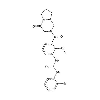 COc1c(NC(=O)Nc2ccccc2Br)cccc1C(=O)N1CC(=O)N2CCCC2C1